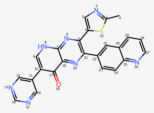 Cc1ncc(-c2nc3[nH]cc(-c4cncnc4)c(=O)c3nc2-c2ccc3ncccc3c2)s1